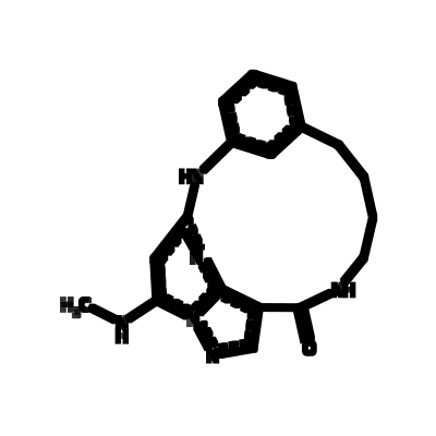 CNc1cc2nc3c(cnn13)C(=O)NCCCCc1cccc(c1)N2